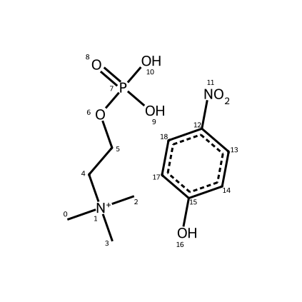 C[N+](C)(C)CCOP(=O)(O)O.O=[N+]([O-])c1ccc(O)cc1